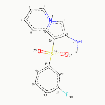 CNc1cn2ccccc2c1S(=O)(=O)c1cccc(F)c1